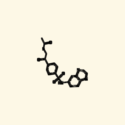 CC(=O)SCC(=O)c1ccc(S(=O)(=O)Nc2ccc3nccnc3c2)cc1